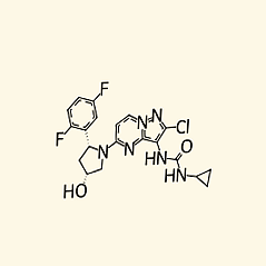 O=C(Nc1c(Cl)nn2ccc(N3C[C@H](O)C[C@@H]3c3cc(F)ccc3F)nc12)NC1CC1